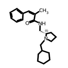 CC(=Cc1ccccc1)C(=O)NC[C@@H]1CCCN1CC1CCCCC1